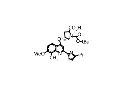 COc1ccc2c(O[C@@H]3CC(C(=O)O)N(C(=O)OC(C)(C)C)C3)cc(-c3nc(C(C)C)cs3)nc2c1C